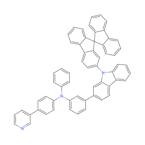 c1ccc(N(c2ccc(-c3cccnc3)cc2)c2cccc(-c3ccc4c5ccccc5n(-c5ccc6c(c5)C5(c7ccccc7-c7ccccc75)c5ccccc5-6)c4c3)c2)cc1